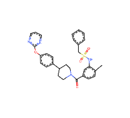 Cc1ccc(C(=O)N2CCC(c3ccc(Oc4ncccn4)cc3)CC2)cc1NS(=O)(=O)Cc1ccccc1